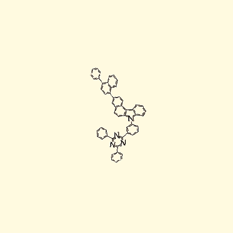 c1ccc(-c2nc(-c3ccccc3)nc(-c3cccc(-n4c5ccccc5c5c6ccc(-c7ccc(-c8ccccc8)c8ccccc78)cc6ccc54)c3)n2)cc1